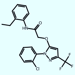 CCc1ccccc1NC(=O)COc1cc(C(F)(F)F)nn1-c1ccccc1Cl